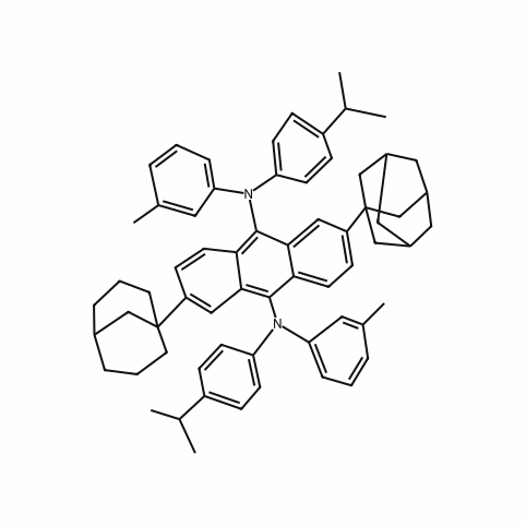 Cc1cccc(N(c2ccc(C(C)C)cc2)c2c3ccc(C45CC6CC(CC(C6)C4)C5)cc3c(N(c3ccc(C(C)C)cc3)c3cccc(C)c3)c3ccc(C45CCCC(CCC4)C5)cc23)c1